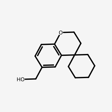 OCc1ccc2c(c1)C1(CCCCC1)CCO2